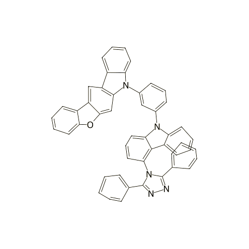 c1ccc(-c2nnc(-c3ccccc3)n2-c2cccc3c2c2ccccc2n3-c2cccc(-n3c4ccccc4c4cc5c(cc43)oc3ccccc35)c2)cc1